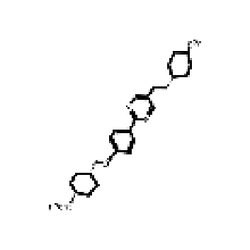 CCCCC[C@H]1CC[C@H](COc2ccc(-c3ncc(CC[C@H]4CC[C@H](CCC)CC4)cn3)cc2)CC1